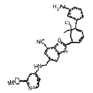 COc1cc(NCc2cc(C#N)c3oc(C4C=CC=C(c5cccc(N)c5)C4(C)Cl)nc3c2)ccn1